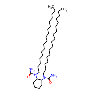 CCCCCCCCCCCCCCCCCCN(C(N)=O)C1CCCCC1N(CCCCCCCCCCCCCCCCCC)C(N)=O